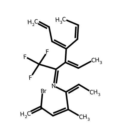 C=C/C=C(\C=C/C)C(=C\C)/C(=N\C(=C\C)C(\C)=C/C(=C)Br)C(F)(F)F